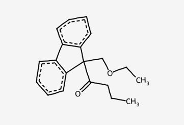 CCCC(=O)C1(COCC)c2ccccc2-c2ccccc21